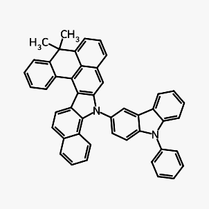 CC1(C)c2ccccc2-c2c3c1cccc3cc1c2c2ccc3ccccc3c2n1-c1ccc2c(c1)c1ccccc1n2-c1ccccc1